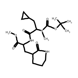 COC(=O)C(CC1CCCNC1=O)NC(=O)C(CC1CC1)N(C)C(=O)OC(C)(C)C